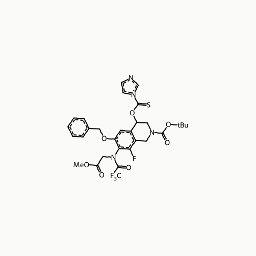 COC(=O)CN(C(=O)C(F)(F)F)c1c(OCc2ccccc2)cc2c(c1F)CN(C(=O)OC(C)(C)C)CC2OC(=S)n1ccnc1